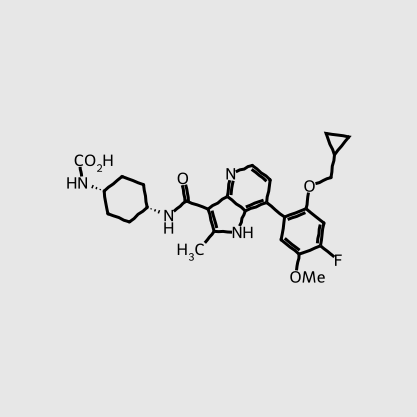 COc1cc(-c2ccnc3c(C(=O)N[C@H]4CC[C@@H](NC(=O)O)CC4)c(C)[nH]c23)c(OCC2CC2)cc1F